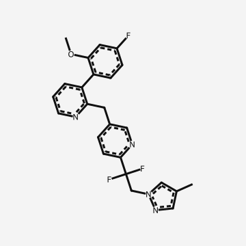 COc1cc(F)ccc1-c1cccnc1Cc1ccc(C(F)(F)Cn2cc(C)cn2)nc1